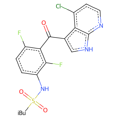 CCC(C)S(=O)(=O)Nc1ccc(F)c(C(=O)c2c[nH]c3nccc(Cl)c23)c1F